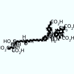 CC(CCN)C(CCC(=O)O)CC(Cc1ccc(Nc2nc(N3CCC(CCCC(=O)O)CC3)nc(N3CCN(CCCCCCCCCCC(=O)NCCCC[C@H](NC(=O)N[C@@H](CCC(=O)O)C(=O)O)C(=O)O)CC3)n2)cc1)N(CCN)CC(=O)O